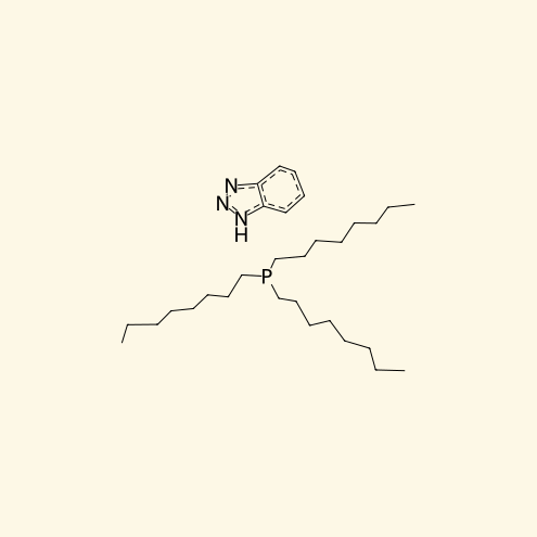 CCCCCCCCP(CCCCCCCC)CCCCCCCC.c1ccc2[nH]nnc2c1